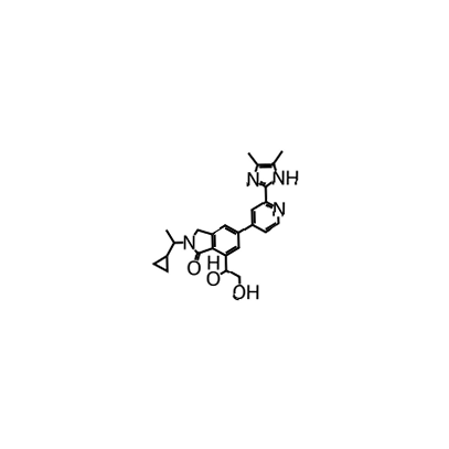 Cc1nc(-c2cc(-c3cc4c(c(C(O)CO)c3)C(=O)N(C(C)C3CC3)C4)ccn2)[nH]c1C